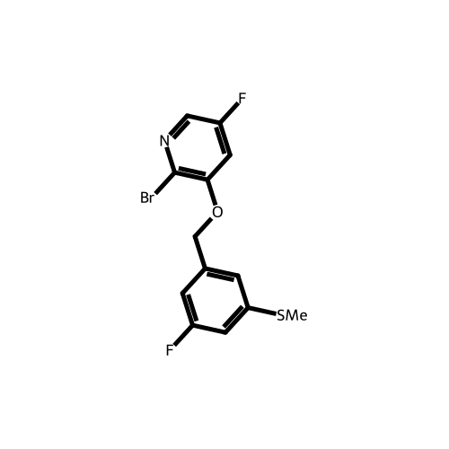 CSc1cc(F)cc(COc2cc(F)cnc2Br)c1